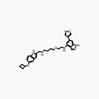 c1cc2[nH]c(CNCCCCOCCNc3cc(-c4cnoc4)cc4[nH]ncc34)cc2cc1OC1CCC1